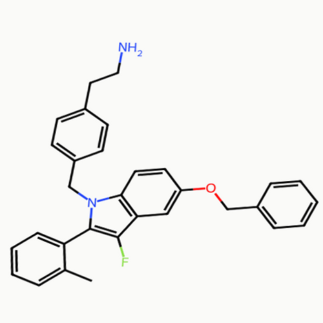 Cc1ccccc1-c1c(F)c2cc(OCc3ccccc3)ccc2n1Cc1ccc(CCN)cc1